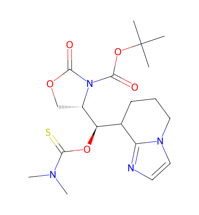 CN(C)C(=S)O[C@H](C1CCCn2ccnc21)[C@@H]1COC(=O)N1C(=O)OC(C)(C)C